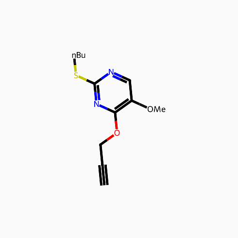 C#CCOc1nc(SCCCC)ncc1OC